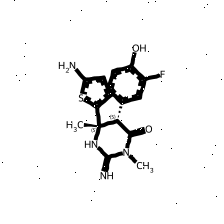 CN1C(=N)N[C@](C)(c2ccc(N)s2)[C@H](c2ccc(O)c(F)c2)C1=O